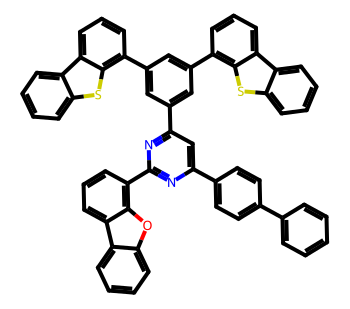 c1ccc(-c2ccc(-c3cc(-c4cc(-c5cccc6c5sc5ccccc56)cc(-c5cccc6c5sc5ccccc56)c4)nc(-c4cccc5c4oc4ccccc45)n3)cc2)cc1